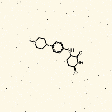 CN1CCC(c2ccc(NC3CCC(=O)NC3=O)cc2)CC1